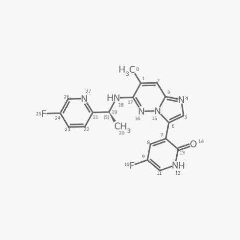 Cc1cc2ncc(-c3cc(F)c[nH]c3=O)n2nc1N[C@@H](C)c1ccc(F)cn1